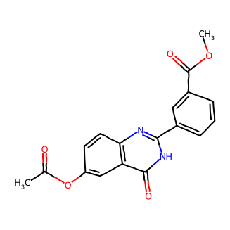 COC(=O)c1cccc(-c2nc3ccc(OC(C)=O)cc3c(=O)[nH]2)c1